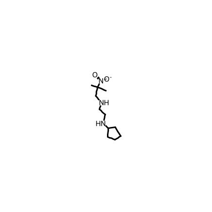 CC(C)(CNCCNC1CCCC1)[N+](=O)[O-]